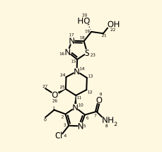 CCc1c(Cl)nc(C(N)=O)n1[C@@H]1CCN(c2nnc([C@H](O)CO)s2)C[C@@H]1OC